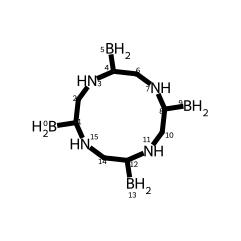 BC1CNC(B)CNC(B)CNC(B)CN1